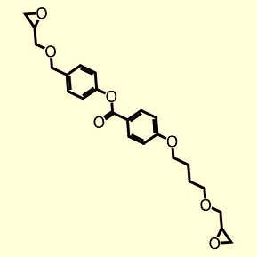 O=C(Oc1ccc(COCC2CO2)cc1)c1ccc(OCCCCOCC2CO2)cc1